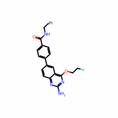 CC(C)CNC(=O)c1ccc(-c2ccc3nc(N)nc(OCCF)c3c2)cc1